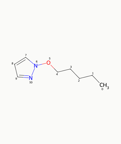 CCCCCOn1cccn1